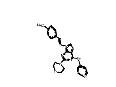 COc1ccc(C=Nn2cnc3c(Nc4ccncc4)nc(N4CCOCC4)nc32)cc1